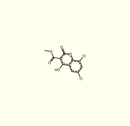 COC(=O)c1c(O)c2cc(Cl)cc(Cl)c2oc1=O